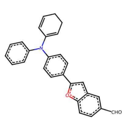 O=Cc1ccc2oc(-c3ccc(N(C4=CCCC=C4)c4ccccc4)cc3)cc2c1